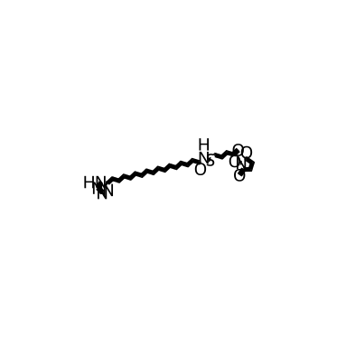 O=C(CCCCCCCCCCCCCCCc1nnn[nH]1)NSCCCC(=O)ON1C(=O)CCC1=O